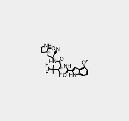 COc1cccc2[nH]c(C(=O)N[C@@H](C(=O)N[C@H](C#N)C[C@@H]3CCNC3=O)C(F)C(C)(C)C(F)F)cc12